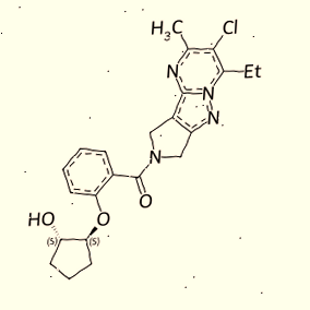 CCc1c(Cl)c(C)nc2c3c(nn12)CN(C(=O)c1ccccc1O[C@H]1CCC[C@@H]1O)C3